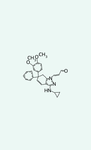 COc1ccc(C2(c3ccccc3)C=Cc3c(NC4CC4)nn(C=CC=O)c3C2)cc1OC